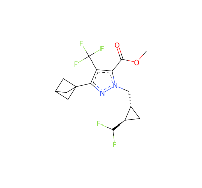 COC(=O)c1c(C(F)(F)F)c(C23CC(C2)C3)nn1C[C@@H]1C[C@H]1C(F)F